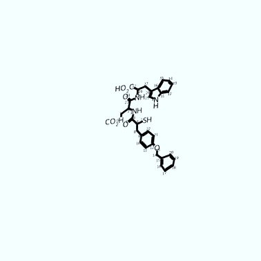 O=C(O)CC(NC(=O)C(S)Cc1ccc(OCc2ccccc2)cc1)C(=O)NC(Cc1c[nH]c2ccccc12)C(=O)O